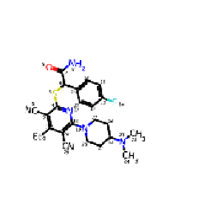 CCc1c(C#N)c(SC(C(N)=O)c2ccc(F)cc2)nc(N2CCC(N(C)C)CC2)c1C#N